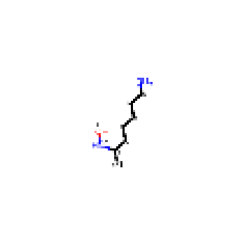 CCC(CCCCCN)NO